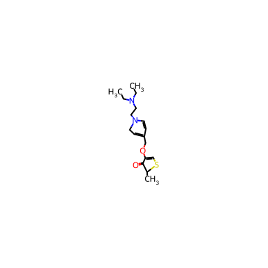 CCN(CC)CCN1C=CC(COC2=CSC(C)C2=O)=CC1